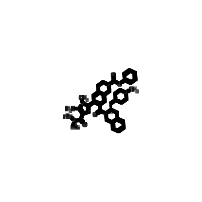 CCCCN(CCCC)C(=O)c1cc(-c2cc3c(cc2C(=O)N2Cc4ccccc4C[C@H]2CN2CCN(C)CC2)CN(C(=O)Oc2ccccc2)CC3)n(C)c1C